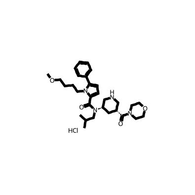 COCCCCn1c(C(=O)N(CC(C)C)[C@@H]2CNC[C@H](C(=O)N3CCOCC3)C2)ccc1-c1ccccc1.Cl